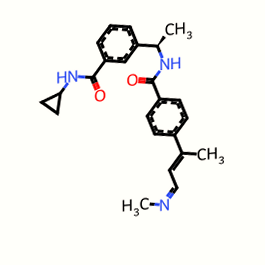 C/N=C\C=C(/C)c1ccc(C(=O)N[C@H](C)c2cccc(C(=O)NC3CC3)c2)cc1